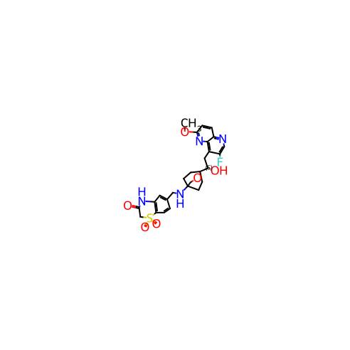 COc1ccc2ncc(F)c(C[C@H](O)C34CCC(NCc5ccc6c(c5)NC(=O)CS6(=O)=O)(CC3)CO4)c2n1